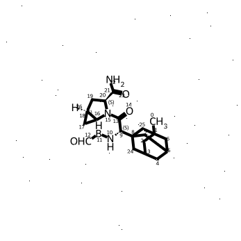 CC12CC3CC(C1)CC([C@H](NBC=O)C(=O)N1C4C[C@H]4C[C@H]1C(N)=O)(C3)C2